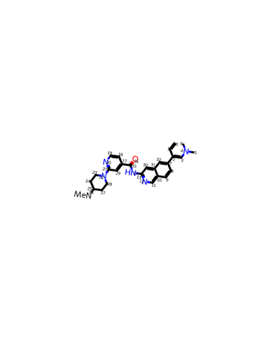 C=C/C(=C\N(C)C)c1ccc2cnc(NC(=O)c3ccnc(N4CCC(NC)CC4)c3)cc2c1